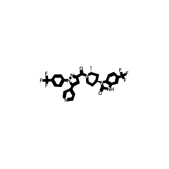 C[C@@H]1C[C@@H](n2c(=O)[nH]c3cc(C(F)(F)F)ccc32)CCN1C(=O)c1cc(-c2ccncc2)n(-c2ccc(C(F)(F)F)cc2)n1